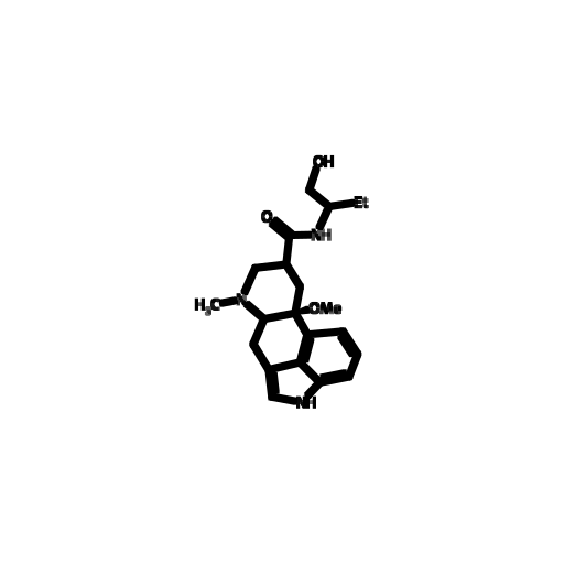 CCC(CO)NC(=O)C1CN(C)C2Cc3c[nH]c4cccc(c34)[C@@]2(OC)C1